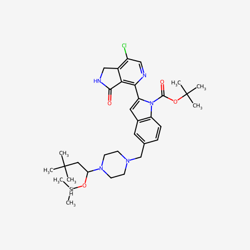 C[SiH](C)OC(CC(C)(C)C)N1CCN(Cc2ccc3c(c2)cc(-c2ncc(Cl)c4c2C(=O)NC4)n3C(=O)OC(C)(C)C)CC1